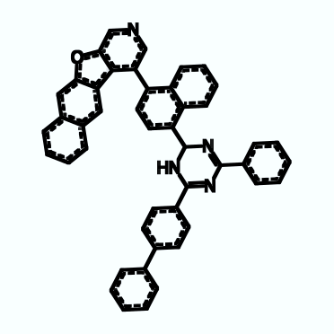 c1ccc(C2=NC(c3ccc(-c4cncc5oc6cc7ccccc7cc6c45)c4ccccc34)NC(c3ccc(-c4ccccc4)cc3)=N2)cc1